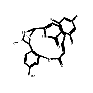 CC(=O)Nc1ccc2c(c1)NC(=O)/C=C/C=C\C=C(/NC(=O)c1c(F)cc(C)cc1F)C1NC2[C@H](Cl)N1